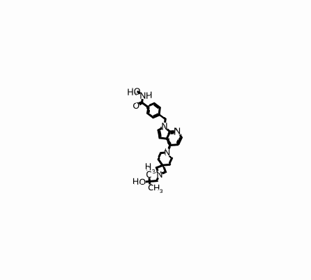 CC(C)(O)CN1CC2(CCN(c3ccnc4c3ccn4Cc3ccc(C(=O)NO)cc3)CC2)C1